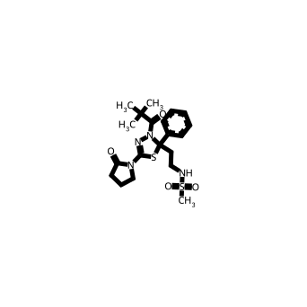 CC(C)(C)C(=O)N1N=C(N2CCCC2=O)SC1(CCNS(C)(=O)=O)c1ccccc1